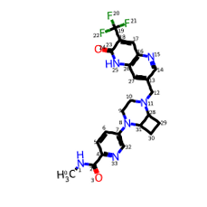 CNC(=O)c1ccc(N2CCN(Cc3cnc4cc(C(F)(F)F)c(=O)[nH]c4c3)C3CCC32)cn1